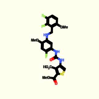 COC(=O)c1scc(NC(=O)Nc2cc(NCc3c(OC)ccc(F)c3F)c(OC)cc2F)c1C(=O)O